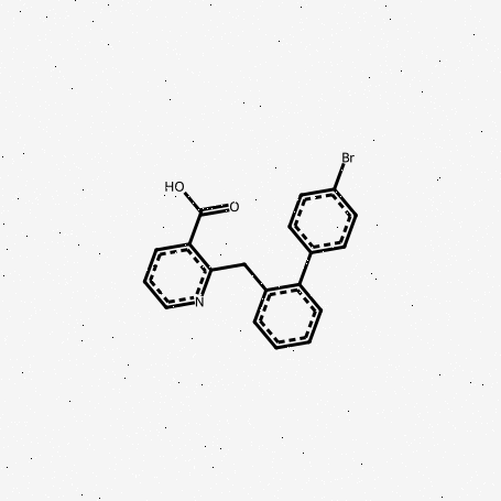 O=C(O)c1cccnc1Cc1ccccc1-c1ccc(Br)cc1